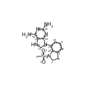 CS(=O)(=O)N1CCc2cccc(N3CNc4c(N)nc(N)nc43)c21